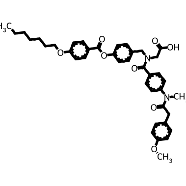 CCCCCCCOc1ccc(C(=O)Oc2ccc(CN(CC(=O)O)C(=O)c3ccc(N(C)C(=O)Cc4ccc(OC)cc4)cc3)cc2)cc1